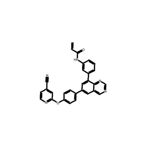 C=CC(=O)Nc1cccc(-c2cc(-c3ccc(Oc4cc(C#N)ccn4)cc3)cc3cncnc23)c1